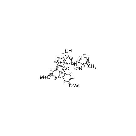 COc1ccc(C(OC2C(F)C(CO)OC2n2cnc3c(C)ncnc32)(c2ccccc2)c2ccc(OC)cc2)cc1